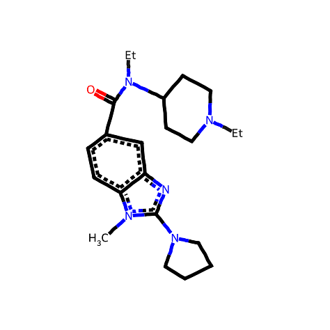 CCN1CCC(N(CC)C(=O)c2ccc3c(c2)nc(N2CCCC2)n3C)CC1